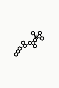 c1ccc(-n2c3cc4c5ccc(-c6ccc(-c7ccc8cc9ccccc9cc8c7)c7ccccc67)cc5c5ccccc5c4cc3c3c4ccccc4c4ccccc4c32)cc1